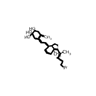 C=C1CC(O)C(O)(O)C/C1=C/C=C1CCC[C@@]2(C)C1CC[C@@H]2[C@H](C)CCCC(C)C